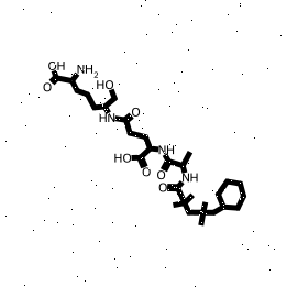 CC(NC(=O)C(C)(C)CC(C)(C)CC1CCCCC1)C(=O)NC(CCC(=O)NC(CO)CCCC(N)C(=O)O)C(=O)O